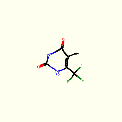 CC1=C(C(F)(F)F)NC(=O)[N]C1=O